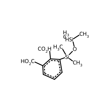 C[SiH](C)O[Si](C)(C)c1cccc(C(=O)O)c1C(=O)O